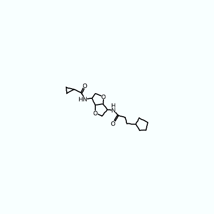 O=C(CCC1CCCC1)NC1COC2C(NC(=O)C3CC3)COC12